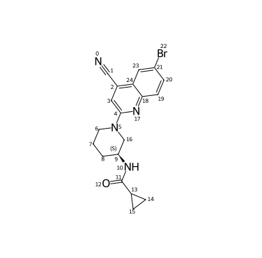 N#Cc1cc(N2CCC[C@H](NC(=O)C3CC3)C2)nc2ccc(Br)cc12